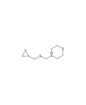 C1C[SH](CSCC2CS2)CCS1